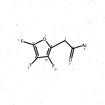 CC(=O)C(=O)Cc1oc(F)c(F)c1F